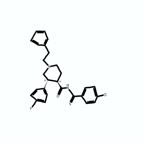 O=C(NC(=S)c1ccc(Cl)cc1)[C@@H]1CCN(CCc2ccccc2)C[C@H]1c1ccc(F)cc1